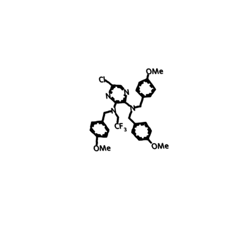 COc1ccc(CN(Cc2ccc(OC)cc2)c2ncc(Cl)nc2N(Cc2ccc(OC)cc2)CC(F)(F)F)cc1